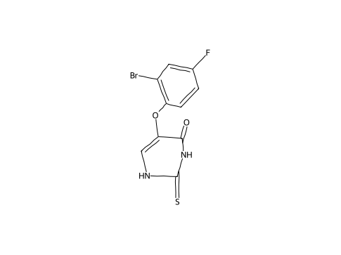 O=c1[nH]c(=S)[nH]cc1Oc1ccc(F)cc1Br